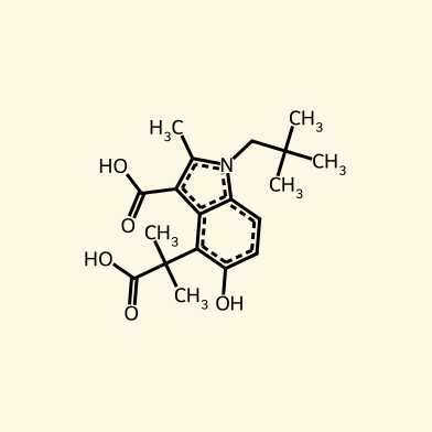 Cc1c(C(=O)O)c2c(C(C)(C)C(=O)O)c(O)ccc2n1CC(C)(C)C